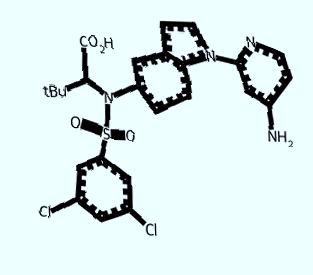 CC(C)(C)C(C(=O)O)N(c1ccc2c(ccn2-c2cc(N)ccn2)c1)S(=O)(=O)c1cc(Cl)cc(Cl)c1